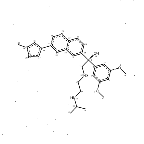 COc1cc(OC)cc([C@](O)(CNCCNC(C)C)c2ccc3ncc(-c4cnn(C)c4)nc3c2)c1